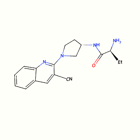 CC[C@H](N)C(=O)N[C@H]1CCN(c2nc3ccccc3cc2C#N)C1